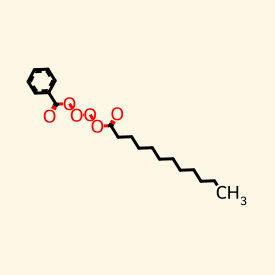 CCCCCCCCCCCC(=O)OOOOC(=O)c1ccccc1